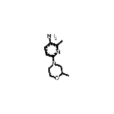 Cc1nc(N2CCOC(C)C2)ccc1N